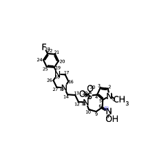 Cn1ccc2c1/C(=N/O)CCN(CCCN1CCN(c3ccc(F)cc3)CC1)S2(=O)=O